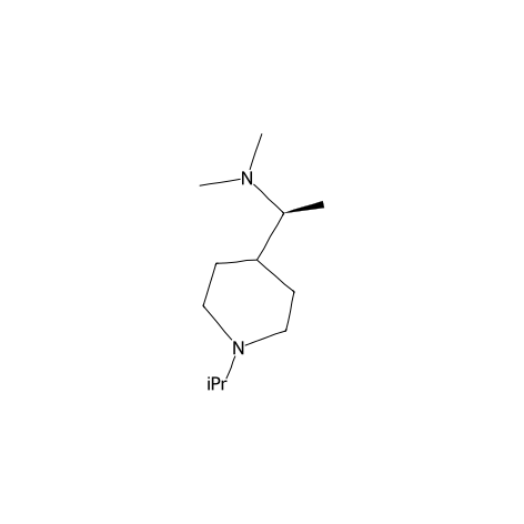 CC(C)N1CCC([C@H](C)N(C)C)CC1